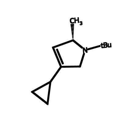 C[C@H]1C=C(C2CC2)CN1C(C)(C)C